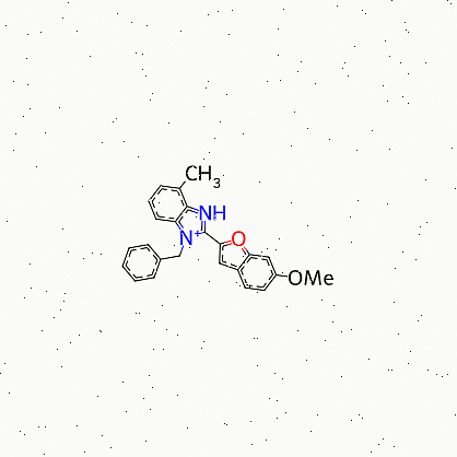 COc1ccc2cc(-c3[nH]c4c(C)cccc4[n+]3Cc3ccccc3)oc2c1